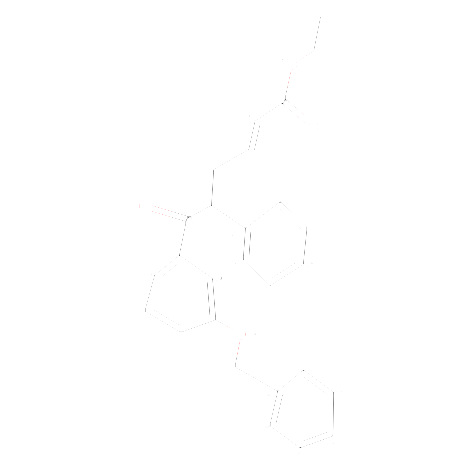 CCOC(=O)C=CCC(C(=O)c1cccc(OCc2ccccc2)c1)c1ccccc1